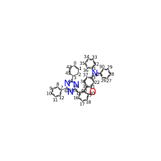 C1=CCC(c2nc(-c3ccccc3)nc(-c3cccc4oc5cc(N(c6ccccc6)c6ccccc6)ccc5c34)n2)C=C1